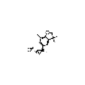 Cc1cc([C@@]2(C)C[C@@H]2C=O)cc2c1OCC2(C)C